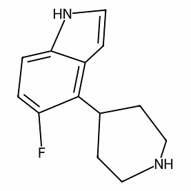 Fc1ccc2[nH]ccc2c1C1CCNCC1